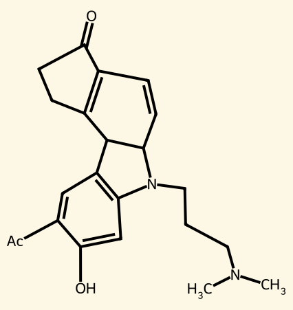 CC(=O)c1cc2c(cc1O)N(CCCN(C)C)C1C=CC3=C(CCC3=O)C21